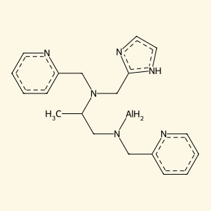 CC(C[N]([AlH2])Cc1ccccn1)N(Cc1ccccn1)Cc1ncc[nH]1